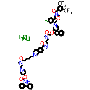 CN(CCN1CCC(OC(=O)Nc2ccccc2-c2ccccc2)CC1)C(=O)CCCCCN1CCc2cc(C(=O)N(C)CCCN(C)C(=O)CO[C@H]3Cc4ccccc4C34CCN(CC[C@]3(c5ccc(F)cc5)CN(C(=O)c5cc(C(F)(F)F)cc(C(F)(F)F)c5)CO3)CC4)ccc2C1.Cl.Cl.Cl